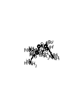 CC(C)(C)c1cc(NC(=O)CCCCNC(=N)N)c(SCCCC(=N)N)c(NC(=O)c2cccc(C(=O)Nc3cc(C(C)(C)C)cc(NC(=O)CCCCNC(=N)N)c3SCCNC(=N)N)c2)c1